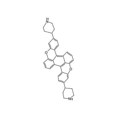 c1cc2oc3cc(C4CCNCC4)ccc3c3c4cccc5oc6cc(C7CCNCC7)ccc6c(c(c1)c23)c54